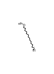 CCCOCCCCCCCCCCCCCSCC